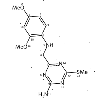 COc1ccc(NCc2nc(N)nc(SC)n2)c(OC)c1